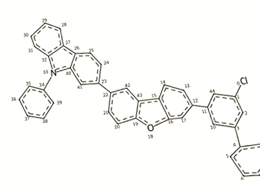 Clc1cc(-c2ccccc2)cc(-c2ccc3c(c2)oc2ccc(-c4ccc5c6ccccc6n(-c6ccccc6)c5c4)cc23)c1